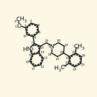 COc1cccc(-c2[nH]c3ccccc3c2CN2CCC(c3c(C)cccc3C)CC2)c1